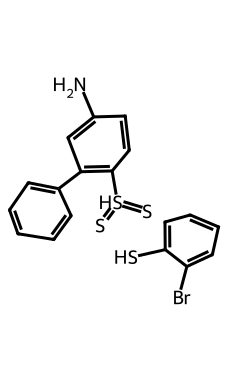 Nc1ccc([SH](=S)=S)c(-c2ccccc2)c1.Sc1ccccc1Br